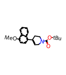 COc1ccc(C2=CCN(C(=O)OC(C)(C)C)CC2)c2ccccc12